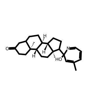 CC1=CC(O)(C2CC[C@H]3[C@@H]4CCC5CC(=O)CC[C@]5(C)[C@H]4CC[C@]23C)N=CC=C1